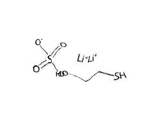 O=S(=O)([O-])[O-].OCCS.[Li+].[Li+]